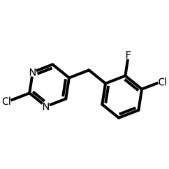 Fc1c(Cl)cccc1Cc1cnc(Cl)nc1